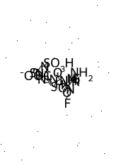 Nc1nc(/C(=N/OCCF)C(=O)N[C@@H]2C(=O)N3C(C(=O)[O-])=C(Cn4cc5scc(CNS(=O)(=O)O)[n+]5c4)CS[C@H]23)ns1